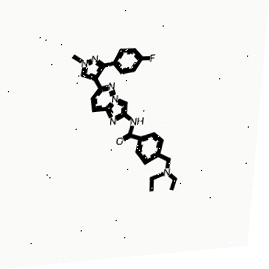 CCN(CC)Cc1ccc(C(=O)Nc2cn3nc(-c4cn(C)nc4-c4ccc(F)cc4)ccc3n2)cc1